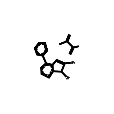 C=C(C)C(=C)C.CC(C)C1=Cc2c(-c3ccccc3)cccc2[CH]1[Zr]